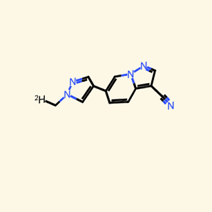 [2H]Cn1cc(-c2ccc3c(C#N)cnn3c2)cn1